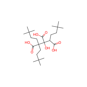 CC(C)(C)CCC(C(=O)O)C(O)(C(=O)O)C(CCC(C)(C)C)(CCC(C)(C)C)C(=O)O